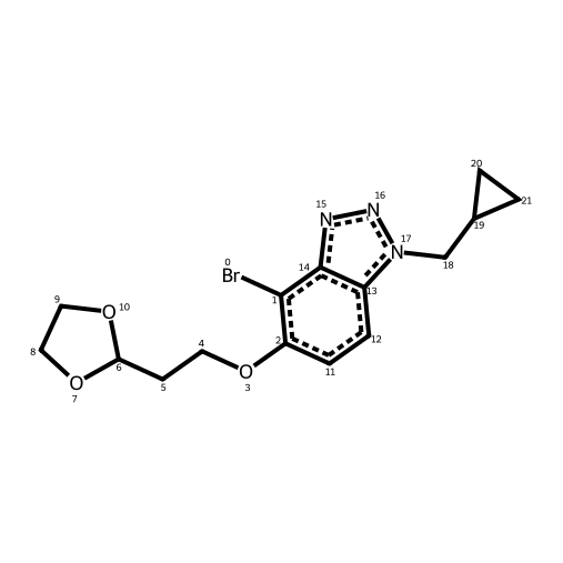 Brc1c(OCCC2OCCO2)ccc2c1nnn2CC1CC1